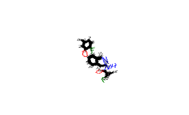 Cc1ccc(F)c(Oc2ccc3cc(NC(=O)C4CC4F)ncc3c2)c1